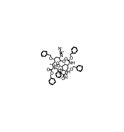 C[C@@H]([C@H]1OC(O[C@H]2[C@H](O)[C@H]3OC(=O)N[C@@H]3[C@@H](OCc3ccccc3)[C@@H]2NC(=O)OCc2ccccc2)[C@H](N=[N+]=[N-])C[C@@H]1OCc1ccccc1)N(Cc1ccccc1)C(=O)OCc1ccccc1